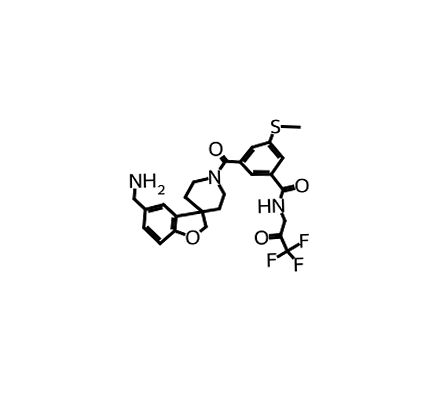 CSc1cc(C(=O)NCC(=O)C(F)(F)F)cc(C(=O)N2CCC3(CC2)COc2ccc(CN)cc23)c1